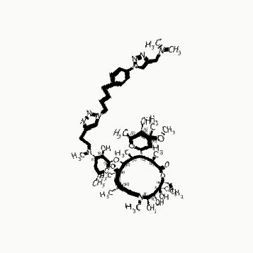 CC[C@H]1OC(=O)[C@H](C)[C@@H](C2C[C@@](C)(OC)[C@@H](O)[C@H](C)O2)[C@H](C)[C@@H](O[C@@H]2O[C@H](C)C[C@H](N(C)CCc3cn(CCCCc4ccc(-n5cc(CN(C)C)nn5)cc4)nn3)[C@H]2O)[C@](C)(O)C[C@@H](C)CN(C)[C@H](C)[C@@H](O)[C@]1(C)O